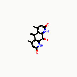 C=C1c2c(C)cc(=O)[nH]c2C(=O)c2[nH]c(=O)cc(C)c21